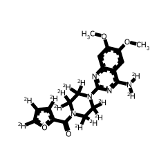 [2H]c1oc(C(=O)N2C([2H])([2H])C([2H])([2H])N(c3nc(N([2H])[2H])c4cc(OC)c(OC)cc4n3)C([2H])([2H])C2([2H])[2H])c([2H])c1[2H]